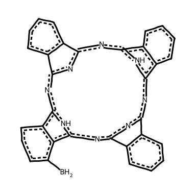 Bc1cccc2c3nc4nc(nc5[nH]c(nc6nc(nc([nH]3)c12)-c1ccccc1-6)c1ccccc51)-c1ccccc1-4